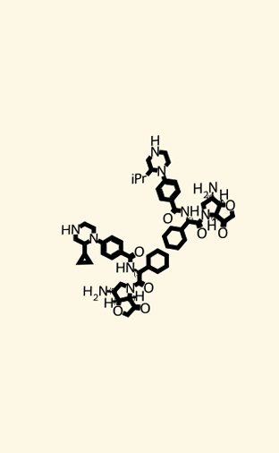 CC(C)C1CNCCN1c1ccc(C(=O)N[C@H](C(=O)N2C[C@H](N)[C@H]3OCC(=O)[C@H]32)C2CCCCC2)cc1.N[C@H]1CN(C(=O)[C@@H](NC(=O)c2ccc(N3CCNCC3C3CC3)cc2)C2CCCCC2)[C@@H]2C(=O)CO[C@@H]21